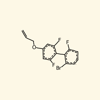 C=CCOc1cc(F)c(-c2c(Br)[c]ccc2F)c(F)c1